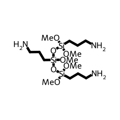 CO[Si](CCCN)(OC)O[Si](CCCN)(OC)O[Si](CCCN)(OC)OC